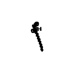 CCCCCCCCCCCCCCCC(=O)NCC(C)(C)COC